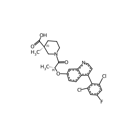 C[C@@H](Oc1ccc2c(-c3c(Cl)cc(F)cc3Cl)ccnc2c1)C(=O)N1CCC[C@](C)(C(=O)O)C1